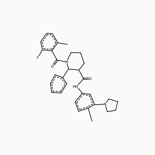 Cc1ccc(NC(=O)C2CCCN(C(=O)c3c(C)cccc3F)C2c2ccccc2)cc1N1CCCC1